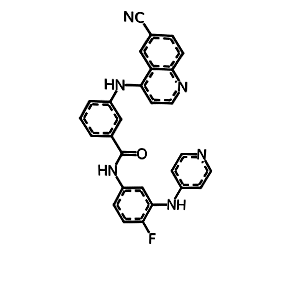 N#Cc1ccc2nccc(Nc3cccc(C(=O)Nc4ccc(F)c(Nc5ccncc5)c4)c3)c2c1